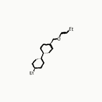 CCC=COC[C@H]1CC[C@H]([C@H]2CC[C@H](CC)CC2)CC1